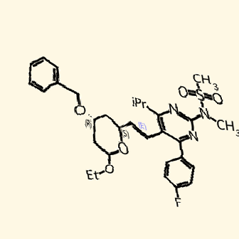 CCOC1C[C@H](OCc2ccccc2)C[C@@H](/C=C/c2c(-c3ccc(F)cc3)nc(N(C)S(C)(=O)=O)nc2C(C)C)O1